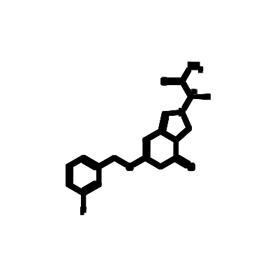 C[C@H](C(N)=O)N1C=C2C=C(OCc3cccc(F)c3)CC(=O)C2C1